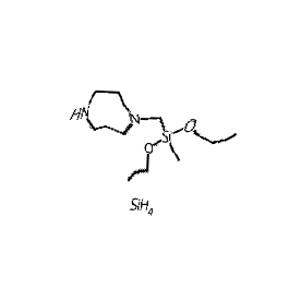 CCO[Si](C)(CN1CCNCC1)OCC.[SiH4]